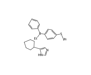 CCB(c1ccccc1)c1ccc(SC(C)C)cc1.c1ncc(C2CCCCC2)[nH]1